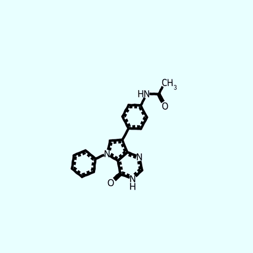 CC(=O)Nc1ccc(-c2cn(-c3ccccc3)c3c(=O)[nH]cnc23)cc1